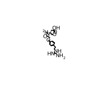 [2H]N(C(=O)COc1ccc(CCNC(=N)N)cc1)[C@H]([C]=O)CC(=O)O